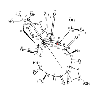 C[C@@H]1NC(=O)[C@@H]2C[C@@H](O)CN2C(=O)[C@H]2CSc3[nH]c4ccccc4c3C[C@H](NC1=O)C(=O)N[C@@H](C[C@@](C)(O)CO)C(=O)N[C@H](C)C(=O)N[C@H]([C@H](C)O)C(=O)N2